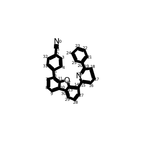 N#Cc1ccc(-c2cccc3c2oc2c(-c4cccc(-c5ccccc5)n4)cccc23)cc1